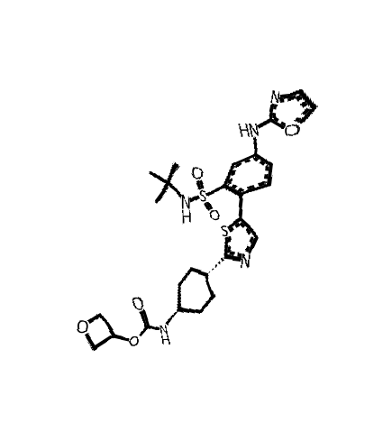 CC(C)(C)NS(=O)(=O)c1cc(Nc2ncco2)ccc1-c1cnc([C@H]2CC[C@H](NC(=O)OC3COC3)CC2)s1